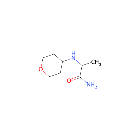 CC(NC1CCOCC1)C(N)=O